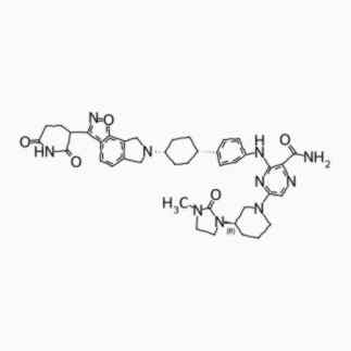 CN1CCN([C@@H]2CCCN(c3cnc(C(N)=O)c(Nc4ccc([C@H]5CC[C@@H](N6Cc7ccc8c(C9CCC(=O)NC9=O)noc8c7C6)CC5)cc4)n3)C2)C1=O